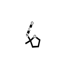 CC1(N=C=O)CCCO1